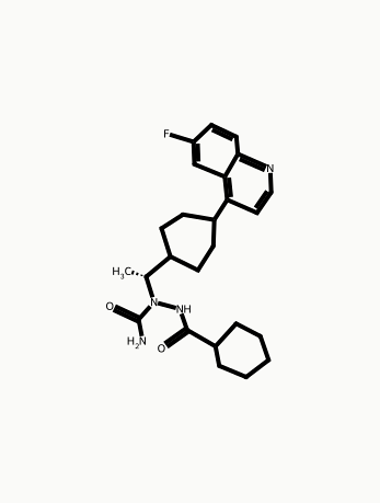 C[C@H](C1CCC(c2ccnc3ccc(F)cc23)CC1)N(NC(=O)C1CCCCC1)C(N)=O